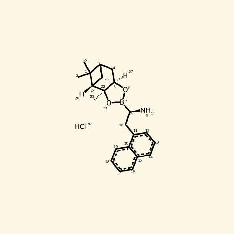 CC1(C)C2C[C@H]3OB([C@@H](N)Cc4cccc5ccccc45)O[C@@]3(C)[C@H]1C2.Cl